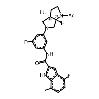 CC(=O)N1CC[C@@H]2CN(c3cc(F)cc(NC(=O)c4cc5c(F)ccc(C)c5[nH]4)c3)C[C@H]21